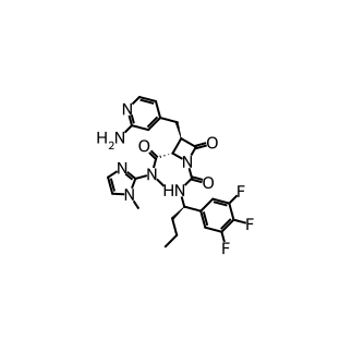 CCC[C@@H](NC(=O)N1C(=O)[C@H](Cc2ccnc(N)c2)[C@H]1C(=O)N(C)c1nccn1C)c1cc(F)c(F)c(F)c1